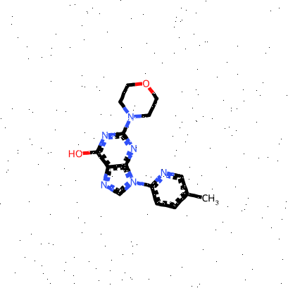 Cc1ccc(-n2cnc3c(O)nc(N4CCOCC4)nc32)nc1